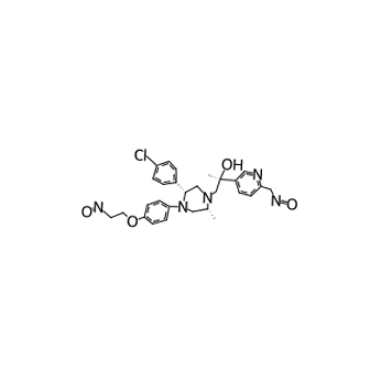 C[C@@H]1CN(c2ccc(OCCN=O)cc2)[C@H](c2ccc(Cl)cc2)CN1C[C@@](C)(O)c1ccc(CN=O)nc1